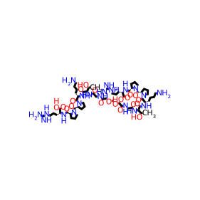 CC(O)C(NC(=O)CNC(=O)COCOCC(=O)NCC(=O)NC(C(=O)N[C@@H](CCCCN)C(=O)N1CCC[C@H]1C(=O)N1CCC[C@H]1C(=O)N[C@H](CCCNC(=N)N)C(=O)O)C(C)O)C(=O)N[C@@H](CCCCN)C(=O)N1CCC[C@H]1C(=O)N1CCC[C@H]1C(=O)N[C@@H](CCCNC(=N)N)C(=O)O